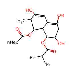 CCCCCCC(=O)OC1C(C)C(O)=CC2=C(O)CC(O)C(OC(=O)C(C(C)C)C(C)C)C21